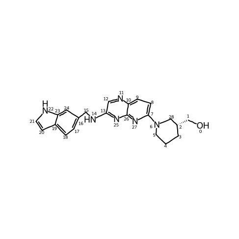 OC[C@@H]1CCCN(c2ccc3ncc(NCc4ccc5cc[nH]c5c4)nc3n2)C1